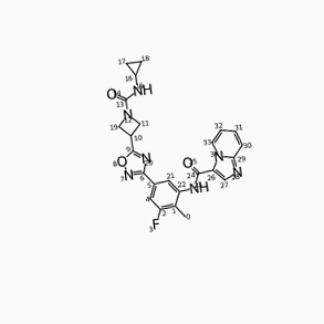 Cc1c(F)cc(-c2noc(C3CN(C(=O)NC4CC4)C3)n2)cc1NC(=O)c1cnc2ccccn12